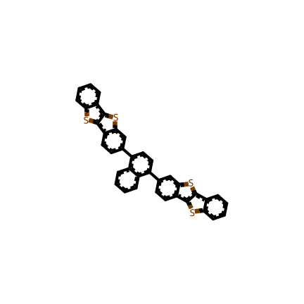 c1ccc2c(c1)sc1c3ccc(-c4ccc(-c5ccc6c(c5)sc5c7ccccc7sc65)c5ccccc45)cc3sc21